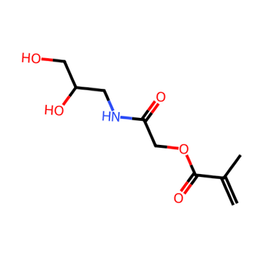 C=C(C)C(=O)OCC(=O)NCC(O)CO